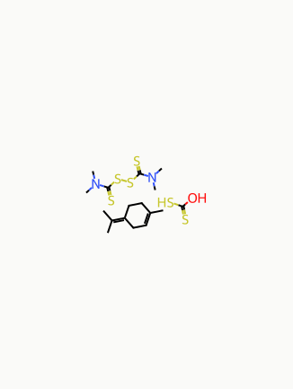 CC1=CCC(=C(C)C)CC1.CN(C)C(=S)SSC(=S)N(C)C.OC(=S)S